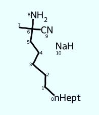 CCCCCCCCCCCCC(C)(N)C#N.[NaH]